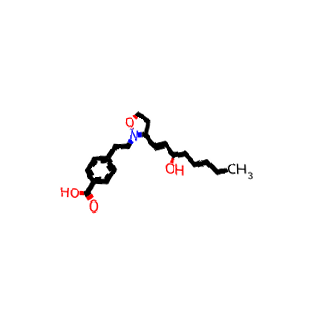 CCCCC[C@@H](O)/C=C/C1CCON1CCc1ccc(C(=O)O)cc1